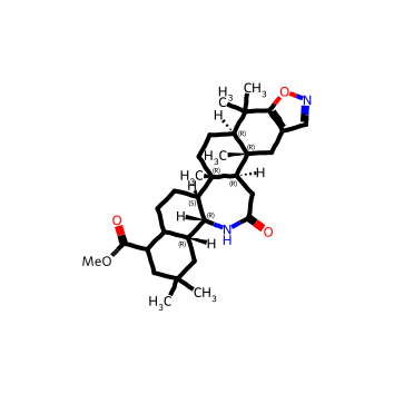 COC(=O)C1CC(C)(C)C[C@@H]2C1CC[C@@H]1[C@@H]2NC(=O)C[C@H]2[C@@]1(C)CC[C@H]1C(C)(C)c3oncc3C[C@]21C